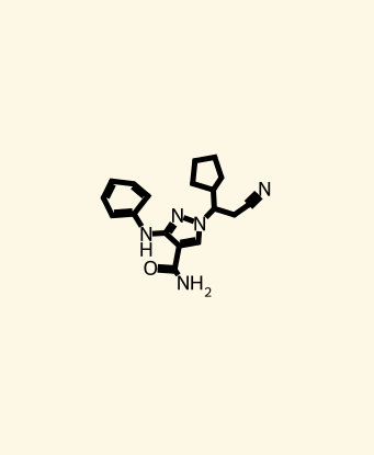 N#CCC(C1CCCC1)n1cc(C(N)=O)c(Nc2ccccc2)n1